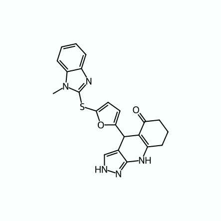 Cn1c(Sc2ccc(C3C4=C(CCCC4=O)Nc4n[nH]cc43)o2)nc2ccccc21